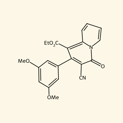 CCOC(=O)c1c(-c2cc(OC)cc(OC)c2)c(C#N)c(=O)n2ccccc12